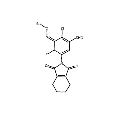 CCC(C)ON=C1C(Cl)=C([C]=O)C=C(N2C(=O)C3=C(CCCC3)C2=O)C1F